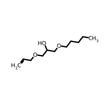 C=CCOCC(O)COCCCCC